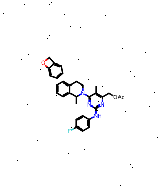 CC(=O)OCc1nc(Nc2ccc(F)cc2)nc(N2CCc3ccccc3C2C)c1C.c1ccc2c(c1)CO2